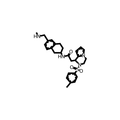 CNCc1ccc2c(c1)CCC(NC(=O)CC1c3cccn3CCN1S(=O)(=O)c1ccc(C)cc1)C2